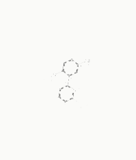 Cc1cccc(-c2cc(N)ccc2N)n1.Cl